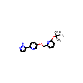 CC(C)(Oc1cccc(COc2ccc(-c3ccn[nH]3)nc2)n1)C(=O)O